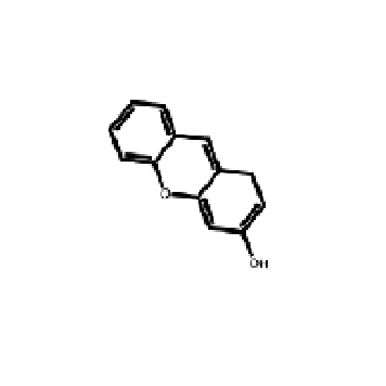 OC1=CCC2=Cc3ccccc3OC2=C1